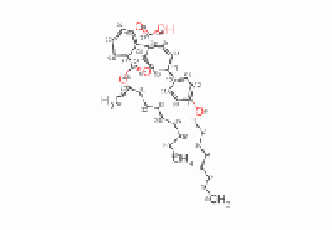 CCCCCCCCOc1ccc(C2C=CC(C(=O)O)(c3ccccc3C(=O)OC(C)CCCCCCCC)C=C2)cc1